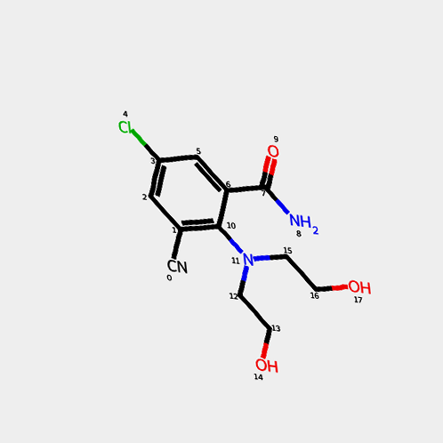 N#Cc1cc(Cl)cc(C(N)=O)c1N(CCO)CCO